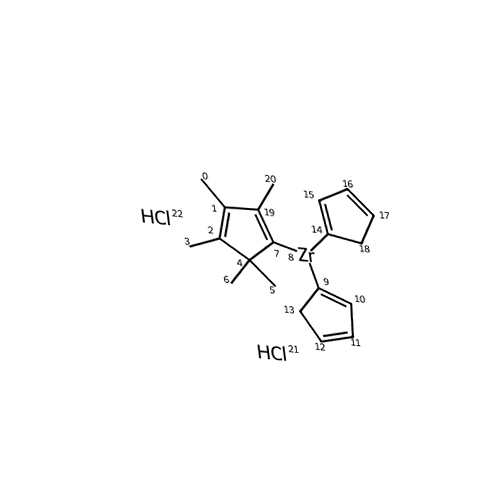 CC1=C(C)C(C)(C)[C]([Zr]([C]2=CC=CC2)[C]2=CC=CC2)=C1C.Cl.Cl